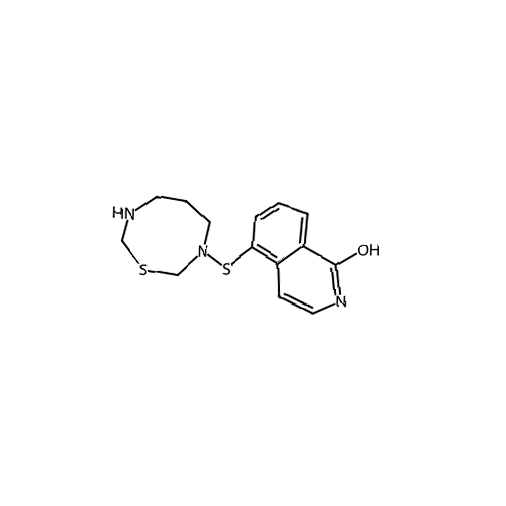 Oc1nccc2c(SN3CCCNCSC3)cccc12